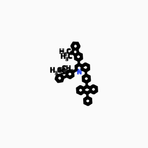 CC1(C)c2ccccc2-c2ccc(-c3cc(-c4ccc5c(c4)[Si](C)(C)c4ccccc4-5)nc4c(-c5ccc(-c6c7ccccc7c(-c7ccccc7)c7ccccc67)cc5)cccc34)cc21